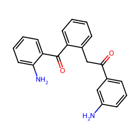 Nc1cccc(C(=O)Cc2ccccc2C(=O)c2ccccc2N)c1